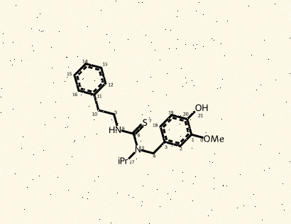 COc1cc(CN(C(=S)NCCc2ccccc2)C(C)C)ccc1O